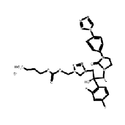 C[C@@H](N1CCN(c2ccc(-n3cnnn3)cc2)C1=O)[C@@](O)(CN1CN(COC(=O)OCCCC(=O)O)[C+]=N1)c1ccc(F)cc1F.[Cl-]